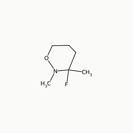 CN1OCCCC1(C)F